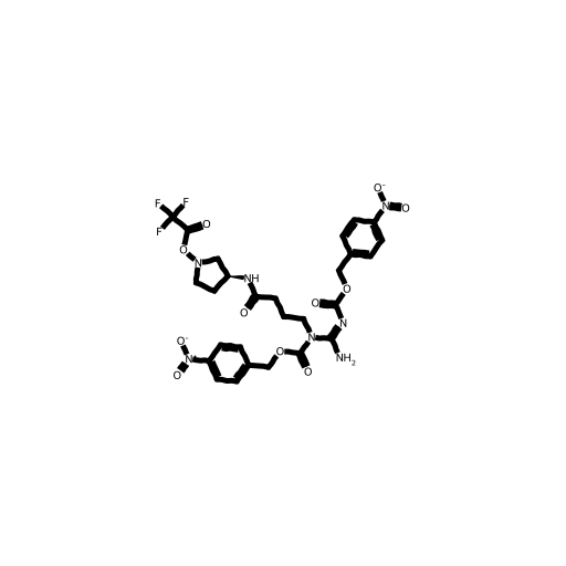 NC(=NC(=O)OCc1ccc([N+](=O)[O-])cc1)N(CCCC(=O)N[C@H]1CCN(OC(=O)C(F)(F)F)C1)C(=O)OCc1ccc([N+](=O)[O-])cc1